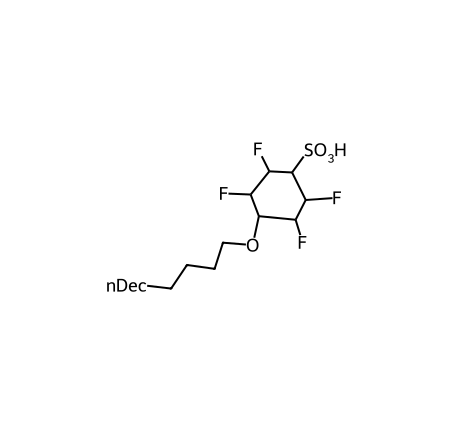 CCCCCCCCCCCCCCOC1C(F)C(F)C(S(=O)(=O)O)C(F)C1F